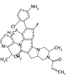 C=CC(=O)N1CC2Cc3c(c4cc(F)c(-c5cc(N)ccc5Cl)c(F)c4n(-c4c(C)ccnc4C(C)C)c3=O)N2CC1C